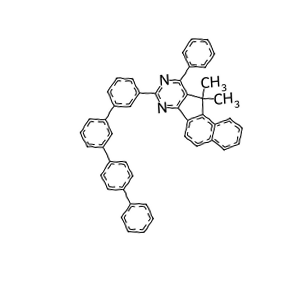 CC1(C)c2c(-c3ccccc3)nc(-c3cccc(-c4cccc(-c5ccc(-c6ccccc6)cc5)c4)c3)nc2-c2ccc3ccccc3c21